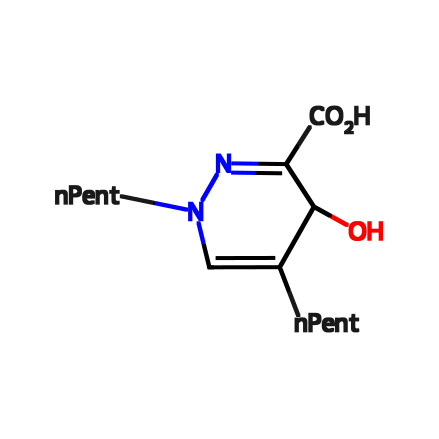 CCCCCC1=CN(CCCCC)N=C(C(=O)O)C1O